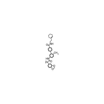 Cc1ccc(NC(=O)C2(c3ccc4c(c3)OCO4)CC2)cc1-c1ccc(C(=O)NCCC2=CCCCC2)cc1